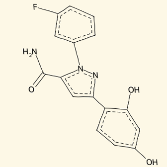 NC(=O)c1cc(-c2ccc(O)cc2O)nn1-c1cccc(F)c1